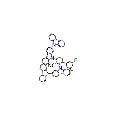 N#Cc1c(-n2c3ccccc3c3ccc(-n4c5ccccc5c5ccccc54)cc32)ccc(-c2cc(F)cc(F)c2)c1-n1c2ccccc2c2ccc(C3c4ccccc4-c4ccccc43)cc21